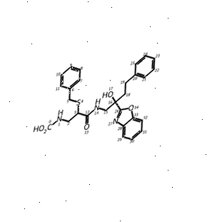 O=C(O)NCC(SCc1ccccc1)C(=O)NCC(O)(CCc1ccccc1)c1nc2ccccc2o1